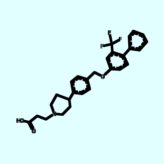 O=C(O)CCN1CCC(c2ccc(COc3ccc(-c4ccccc4)c(C(F)(F)F)c3)cc2)CC1